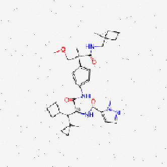 COCC(C)(C(=O)NCC1(C)CCC1)c1ccc(NC(=O)[C@@H](NC(=O)c2ccnn2C)C(C2CCC2)C2(C)CC2)cc1